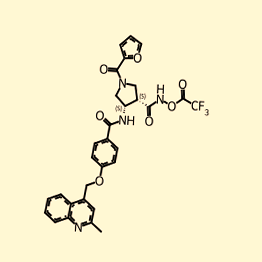 Cc1cc(COc2ccc(C(=O)N[C@@H]3CN(C(=O)c4ccco4)C[C@@H]3C(=O)NOC(=O)C(F)(F)F)cc2)c2ccccc2n1